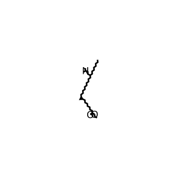 CCCCCCCCC(CCCCCCCCCCC1CC1CCCCCCCC(=O)OCC)CCN(C)C